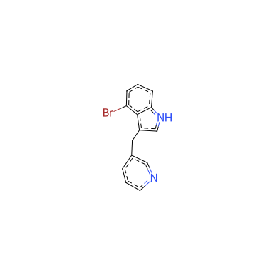 Brc1cccc2[nH]cc(Cc3cccnc3)c12